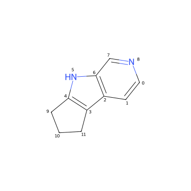 c1cc2c3c([nH]c2cn1)CCC3